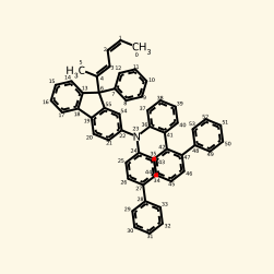 C/C=C\C=C(/C)C1(c2ccccc2)c2ccccc2-c2ccc(N(c3ccc(-c4ccccc4)cc3)c3ccccc3-c3ccccc3-c3ccccc3)cc21